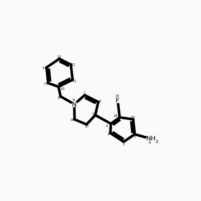 Nc1ccc(C2C=CN(Cc3ccccc3)CC2)c(F)c1